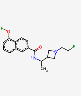 C[C@@H](NC(=O)c1ccc2c(OF)cccc2c1)C1CN(CCF)C1